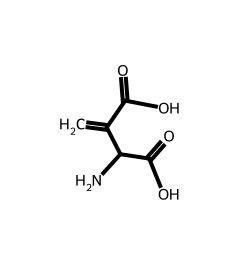 C=C(C(=O)O)C(N)C(=O)O